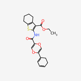 CCOC(=O)c1c(NC(=O)C2=COC(C3=CC=CCC3)=CO2)sc2c1CCCC2